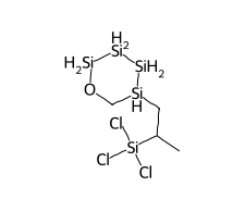 CC(C[SiH]1CO[SiH2][SiH2][SiH2]1)[Si](Cl)(Cl)Cl